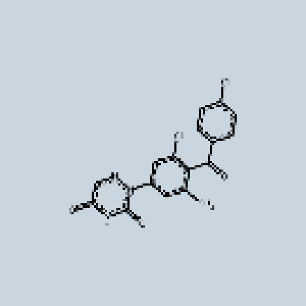 Cc1cc(-n2ncc(=O)[nH]c2=O)cc(Cl)c1C(=O)c1ccc(Cl)cc1